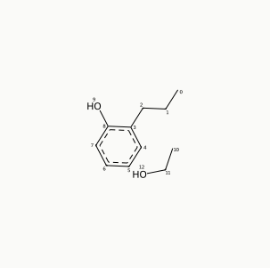 CCCc1ccccc1O.CCO